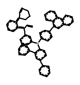 C=C/C(c1cccc(N(c2ccc(-c3cc4ccccc4c4ccccc34)cc2)c2ccc(-c3ccccc3)cc2-c2ccccc2)c1)=c1/cccc/c1=C1\C=CCCC1